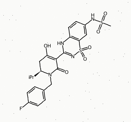 CC(C)[C@H]1CC(O)=C(C2=NS(=O)(=O)c3cc(NS(C)(=O)=O)ccc3N2)C(=O)N1Cc1ccc(F)cc1